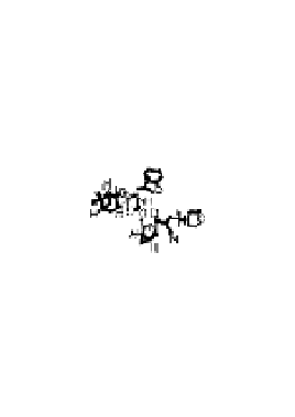 CC1(C)[C@@H]2C[C@H]3OB([C@H](Cc4coc5ccccc45)NC(=O)OC[C@H]4[C@H]5C[C@H]5CN4C(=O)C(C#N)CC(C)(C)N4CCOCC4)O[C@@]3(C)[C@H]1C2